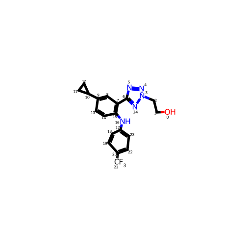 OCCn1nnc(-c2cc(C3CC3)ccc2Nc2ccc(C(F)(F)F)cc2)n1